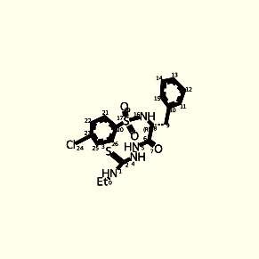 CCNC(=S)NNC(=O)[C@@H](Cc1ccccc1)NS(=O)(=O)c1ccc(Cl)cc1